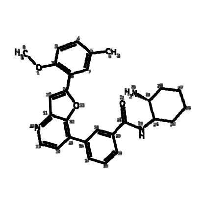 COc1ccc(C)cc1-c1cc2nccc(-c3cccc(C(=O)NC4CCCC[C@@H]4N)c3)c2o1